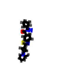 CC1CCCCN1C1CC(c2nc3ccc(C(=O)Nc4ccccc4)cc3s2)C1